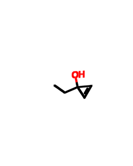 CCC1(O)C=C1